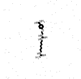 N=C(N)NCCCCCCCNC(=N)NCCOc1ccc(C(=N)N)cc1